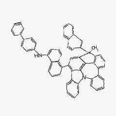 CC1(C2C=Cc3ccccc3C2)c2cccc3c2-c2c1cc(-c1cccc4c(Nc5ccc(-c6ccccc6)cc5)cccc14)c1c4ccccc4n(c21)-c1ccccc1-3